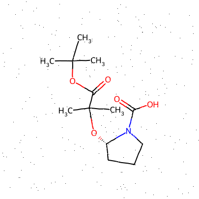 CC(C)(C)OC(=O)C(C)(C)O[C@H]1CCCN1C(=O)O